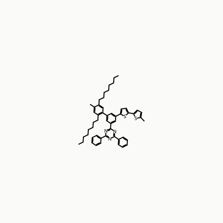 CCCCCCCCc1cc(-c2cc(-c3nc(-c4ccccc4)nc(-c4ccccc4)n3)cc(-c3ccc(-c4ccc(C)s4)s3)c2)c(CCCCCCCC)cc1C